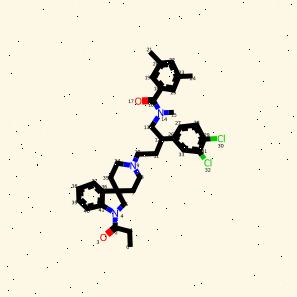 CCC(=O)N1CC2(CCN(CCC(CN(C)C(=O)c3cc(C)cc(C)c3)c3ccc(Cl)c(Cl)c3)CC2)c2ccccc21